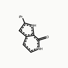 CC(C)c1cc2cc[nH]c(=O)c2[nH]1